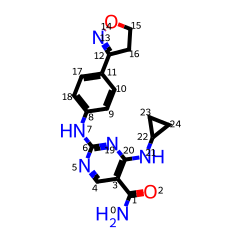 NC(=O)c1cnc(Nc2ccc(C3=NOCC3)cc2)nc1NC1CC1